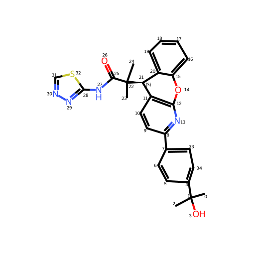 CC(C)(O)c1ccc(-c2ccc3c(n2)Oc2ccccc2[C@@H]3C(C)(C)C(=O)Nc2nncs2)cc1